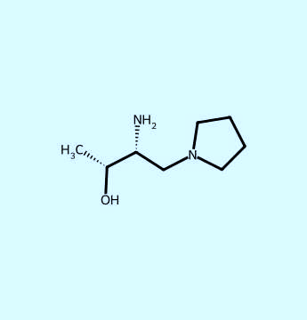 C[C@@H](O)[C@H](N)CN1CCCC1